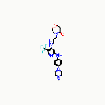 CN1CCN(c2ccc(Nc3cc(NCCCN4CCOCCC4=O)c(C(F)(F)F)cn3)cc2)CC1